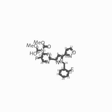 COC(=O)N(c1nc(-c2cc(-c3ccon3)n(Cc3ccccc3F)n2)ncc1F)C(O)OC